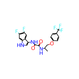 CC(COc1ccc(C(F)(F)F)cc1)NC(=O)C(=O)Nc1c[nH]c2cc(F)c(F)cc12